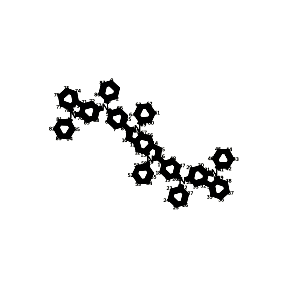 c1ccc(N(c2ccc(-c3cc4cc5c(cc(-c6ccc(N(c7ccccc7)c7ccc8c(c7)c7ccccc7n8-c7ccccc7)cc6)n5-c5ccccc5)cc4n3-c3ccccc3)cc2)c2ccc3c(c2)c2ccccc2n3-c2ccccc2)cc1